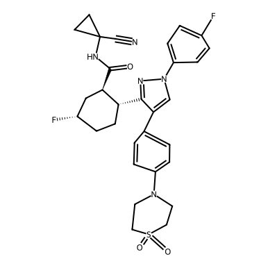 N#CC1(NC(=O)[C@@H]2C[C@@H](F)CC[C@H]2c2nn(-c3ccc(F)cc3)cc2-c2ccc(N3CCS(=O)(=O)CC3)cc2)CC1